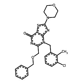 Cc1c(Cl)cccc1Cn1c(COCc2ccccc2)nc(=O)c2sc(N3CCOCC3)nc21